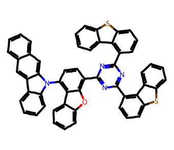 c1ccc2cc3c(cc2c1)c1ccccc1n3-c1ccc(-c2nc(-c3cccc4sc5ccccc5c34)nc(-c3cccc4sc5ccccc5c34)n2)c2oc3ccccc3c12